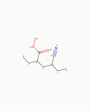 CCC(C#N)CC(CC)C(=O)OC